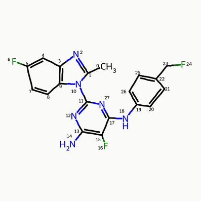 Cc1nc2cc(F)ccc2n1-c1nc(N)c(F)c(Nc2ccc(CF)cc2)n1